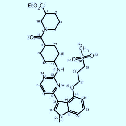 CCOC(=O)C1CCCN(C(=O)C2CCC(Nc3nccc(-c4c[nH]c5cccc(OCCCS(C)(=O)=O)c45)n3)CC2)C1